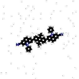 CC(C)(C)c1c2ccc(-c3cc4ccc5cc(C#N)cc6c5c4c(c3)n6-c3ccccc3)cc2c(C(C)(C)C)c2ccc(-c3cc4ccc5cc(C#N)cc6c5c4c(c3)n6-c3ccccc3)cc12